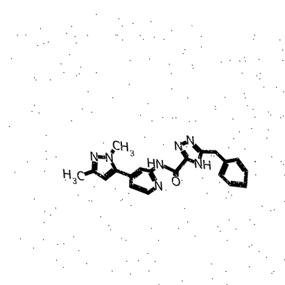 Cc1cc(-c2ccnc(NC(=O)c3nnc(Cc4ccccc4)[nH]3)c2)n(C)n1